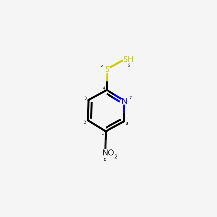 O=[N+]([O-])c1ccc(SS)nc1